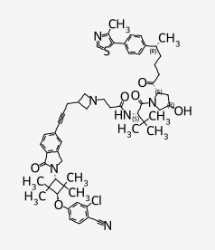 Cc1ncsc1-c1ccc([C@H](C)CCCC(=O)[C@@H]2C[C@@H](O)CN2C(=O)[C@@H](NC(=O)CCN2CC(CC#Cc3ccc4c(c3)CN([C@H]3C(C)(C)[C@H](Oc5ccc(C#N)c(Cl)c5)C3(C)C)C4=O)C2)C(C)(C)C)cc1